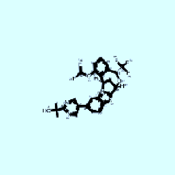 CC(C)(O)c1ncc(-c2ccc3nc4n(c3c2)[C@@H]2C[C@H]4O[C@@H](C(F)(F)F)c3cccc(OC(F)F)c32)cn1